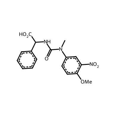 COc1ccc(N(C)C(=O)NC(C(=O)O)c2ccccc2)cc1[N+](=O)[O-]